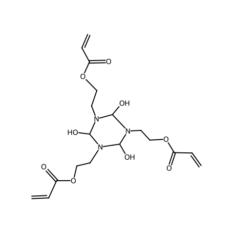 C=CC(=O)OCCN1C(O)N(CCOC(=O)C=C)C(O)N(CCOC(=O)C=C)C1O